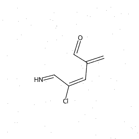 C=C(C=O)/C=C(/Cl)C=N